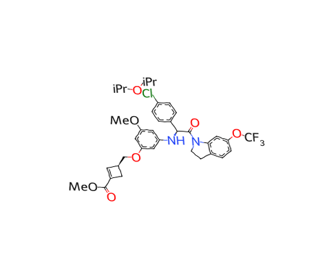 CC(C)OC(C)C.COC(=O)C1=C[C@@H](COc2cc(N[C@H](C(=O)N3CCc4ccc(OC(F)(F)F)cc43)c3ccc(Cl)cc3)cc(OC)c2)C1